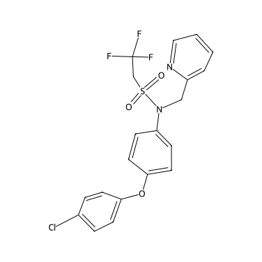 O=S(=O)(CC(F)(F)F)N(Cc1ccccn1)c1ccc(Oc2ccc(Cl)cc2)cc1